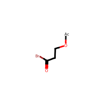 CC(=O)OCCC(=O)Br